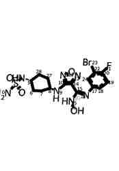 NS(=O)(=O)N[C@H]1CC[C@H](Nc2nonc2/C(=N\c2ccc(F)c(Br)c2)NO)CC1